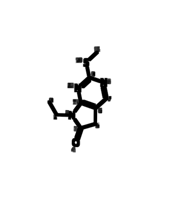 CCN1C(=O)Cc2cnc(SC)nc21